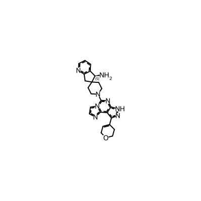 N[C@@H]1c2cccnc2CC12CCN(c1nc3[nH]nc(C4=CCOCC4)c3c3nccn13)CC2